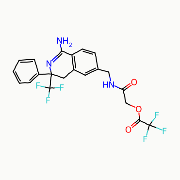 NC1=NC(c2ccccc2)(C(F)(F)F)Cc2cc(CNC(=O)COC(=O)C(F)(F)F)ccc21